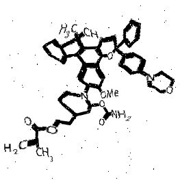 C=C(C)C(=O)OCCC1CCN(c2cc3c4c(c5c(c3cc2OC)OC(c2ccccc2)(c2ccc(N3CCOCC3)cc2)C=C5)C(C)(C)c2ccccc2-4)C(OC(N)=O)C1